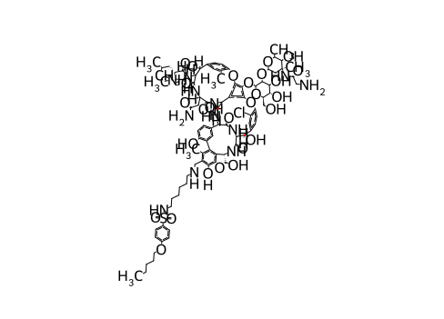 CCCCCOc1ccc(S(=O)(=O)NCCCCCCNCc2c(O)cc3c(c2C)-c2cc(ccc2O)[C@H]2NC(=O)[C@@H]4NC(=O)[C@H](CC(N)=O)NC(=O)[C@H](NC(=O)[C@@H](CC(C)C)NC)[C@H](O)c5ccc(c(C)c5)Oc5cc4cc(c5O[C@@H]4O[C@H](CO)[C@@H](O)[C@H](O)[C@H]4O[C@H]4C[C@](C)(NC(=O)CN)[C@H](O)[C@H](C)O4)Oc4ccc(cc4Cl)[C@@H](O)[C@H](NC2=O)C(=O)N[C@@H]3C(=O)O)cc1